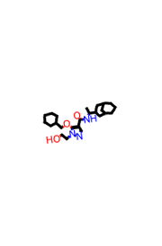 CC(NC(=O)c1cnn(CCO)c1OCC1CCCCC1)C1CC2CCCC(C2)C1